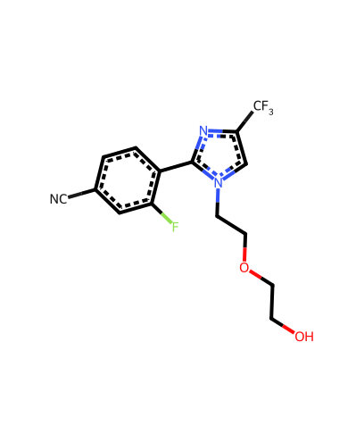 N#Cc1ccc(-c2nc(C(F)(F)F)cn2CCOCCO)c(F)c1